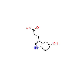 O=C(O)CCc1c[nH]c2ccc(O)cc12